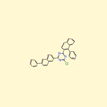 Clc1nc(-c2ccc3cc(-c4ccccc4)ccc3c2)nc(-c2ccc3ccccc3c2-c2ccccc2)n1